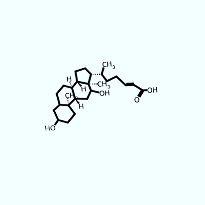 CC(CC/C=C/C(=O)O)[C@H]1CC[C@H]2[C@@H]3CCC4CC(O)CC[C@]4(C)[C@H]3CC(O)[C@]12C